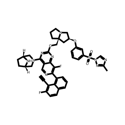 C#Cc1c(F)ccc2cccc(-c3ncc4c(N5C[C@H]6CC[C@@H](C5)N6)nc(OC[C@@]56CCCN5C[C@@H](Oc5cccc(S(=O)(=O)n7cnc(C)n7)c5)C6)nc4c3F)c12